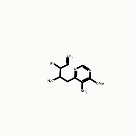 C=CC(C(C)C)C(C)Cc1ncnc(OC)c1N